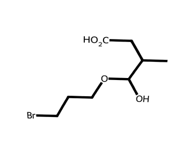 CC(CC(=O)O)C(O)OCCCBr